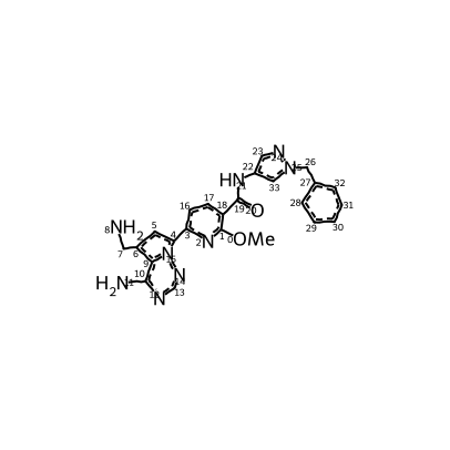 COc1nc(-c2cc(CN)c3c(N)ncnn23)ccc1C(=O)Nc1cnn(Cc2ccccc2)c1